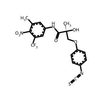 Cc1cc(NC(=O)[C@@](C)(O)COc2ccc(N=C=S)cc2)cc(C(F)(F)F)c1[N+](=O)[O-]